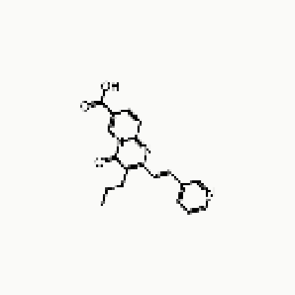 CCCc1c(/C=C/c2cccnc2)nc2ccc(C(=O)O)cn2c1=O